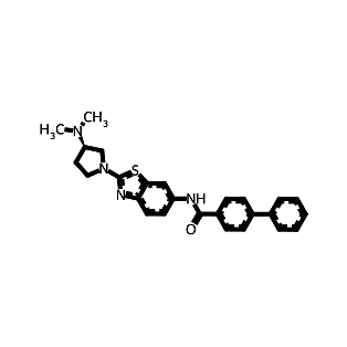 CN(C)[C@@H]1CCN(c2nc3ccc(NC(=O)c4ccc(-c5ccccc5)cc4)cc3s2)C1